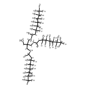 OCC(CSC(F)CC(F)(F)C(F)(F)C(F)(F)C(F)(F)C(F)(F)C(F)(F)F)(CSC(F)CC(F)(F)C(F)(F)C(F)(F)C(F)(F)C(F)(F)C(F)(F)F)CSC(F)CC(F)(F)C(F)(F)C(F)(F)C(F)(F)C(F)(F)C(F)(F)F